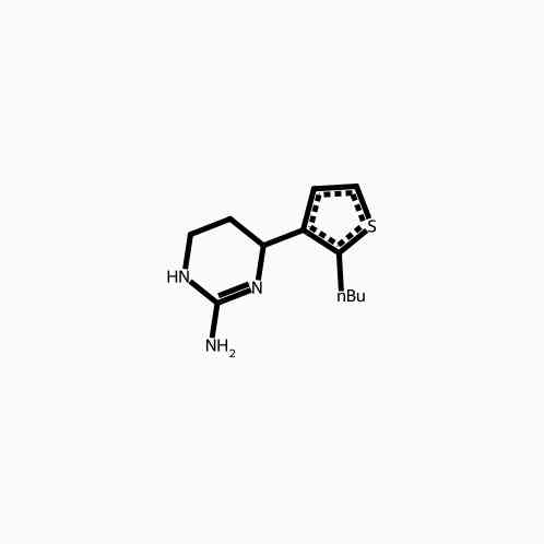 CCCCc1sccc1C1CCNC(N)=N1